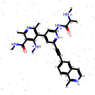 CNC(=O)c1c(C)nc(C)c(-c2cc(C#Cc3ccc4c(C)nccc4c3)nc(NC(=O)C(C)NC)c2)c1NC